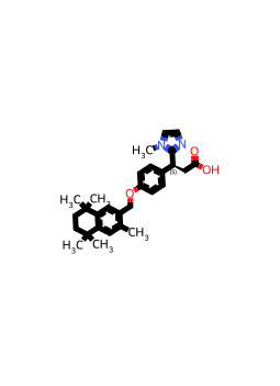 Cc1cc2c(cc1COc1ccc([C@H](CC(=O)O)c3nccn3C)cc1)C(C)(C)CCC2(C)C